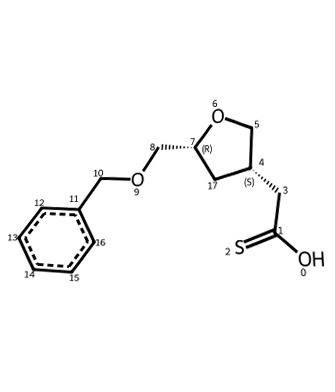 OC(=S)C[C@H]1CO[C@@H](COCc2ccccc2)C1